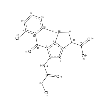 O=C(CCl)Nc1sc2c(c1C(=O)c1c(F)cccc1Cl)CCC2C(=O)O